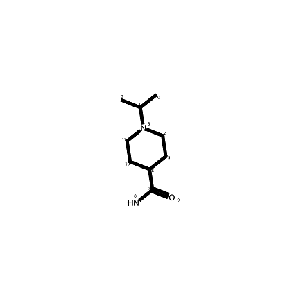 CC(C)N1CCC(C([NH])=O)CC1